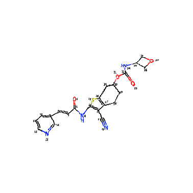 N#Cc1c(NC(=O)C=Cc2cccnc2)sc2c1CCC(OC(=O)NC1COC1)C2